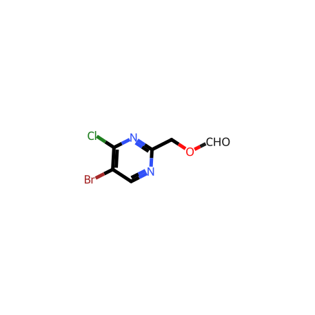 O=COCc1ncc(Br)c(Cl)n1